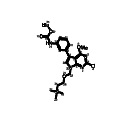 COc1nc(Cl)nc2c1c(-c1cc[c]c(NC(=O)OC(C)(C)C)c1)cn2COCC[Si](C)(C)C